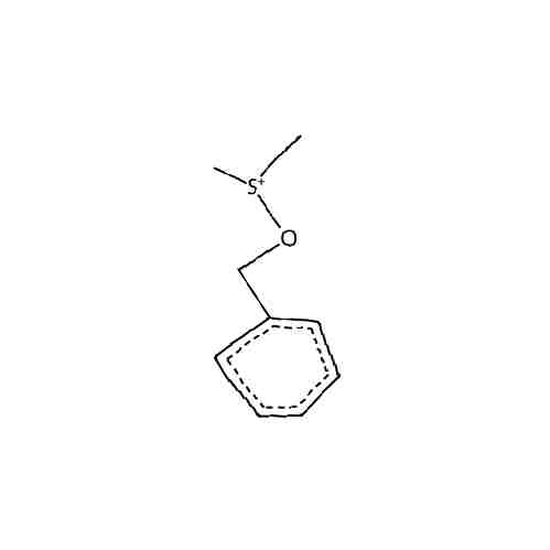 C[S+](C)OCc1ccccc1